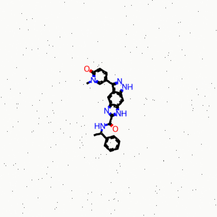 CC(NC(=O)c1nc2cc3c(-c4ccc(=O)n(C)c4)n[nH]c3cc2[nH]1)c1ccccc1